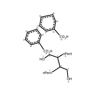 CCCCCC(CO)C(CO)CCCCC.O=C(O)c1ccccc1.O=C(O)c1ccccc1